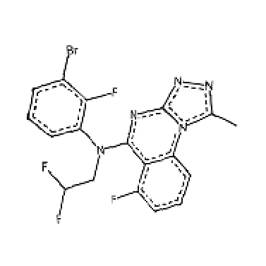 Cc1nnc2nc(N(CC(F)F)c3cccc(Br)c3F)c3c(F)cccc3n12